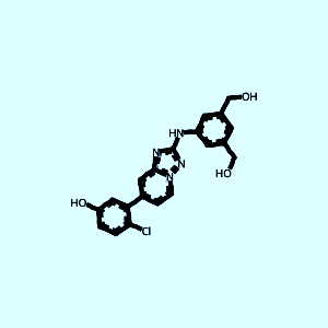 OCc1cc(CO)cc(Nc2nc3cc(-c4cc(O)ccc4Cl)ccn3n2)c1